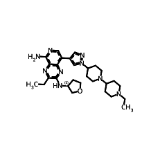 CCc1nc2c(N)ncc(-c3cnn(C4CCN(C5CCN(CC)CC5)CC4)c3)c2nc1N[C@H]1CCOC1